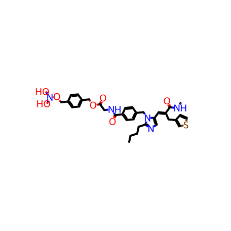 CCCCc1ncc(/C=C(\Cc2ccsc2)C(=O)NC)n1Cc1ccc(C(=O)NCC(=O)OCc2ccc(CON(O)O)cc2)cc1